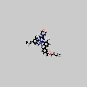 CC(=O)CCCOC(C)c1ccc(C)c(-c2ccc(C)cc2CN(Cc2cc(C(F)(F)F)cc(C(F)(F)F)c2)c2ncc(N3CCOCC3)cn2)c1